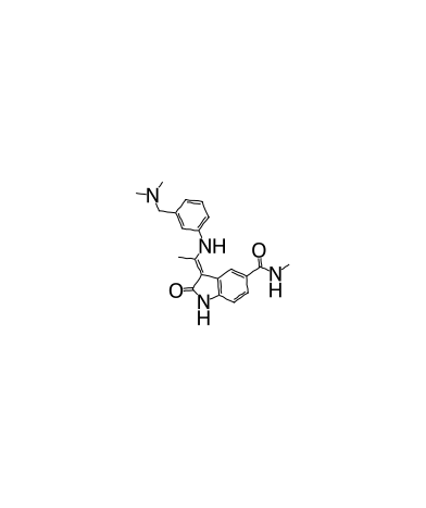 CNC(=O)c1ccc2c(c1)C(=C(C)Nc1cccc(CN(C)C)c1)C(=O)N2